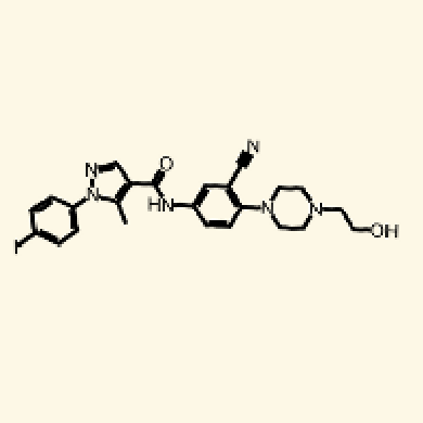 Cc1c(C(=O)Nc2ccc(N3CCN(CCO)CC3)c(C#N)c2)cnn1-c1ccc(I)cc1